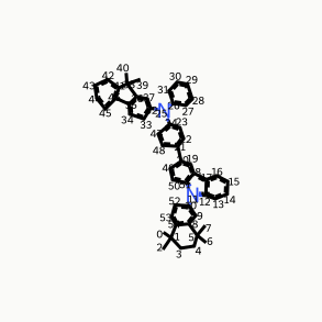 CC1(C)CCC(C)(C)c2cc(-n3c4ccccc4c4cc(-c5ccc(N(c6ccccc6)c6ccc7c(c6)C(C)(C)c6ccccc6-7)cc5)ccc43)ccc21